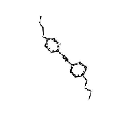 CCCCc1ccc(C#Cc2ncc(OCCC)cn2)cc1